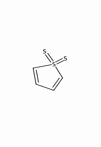 S=S1(=S)C=CC=C1